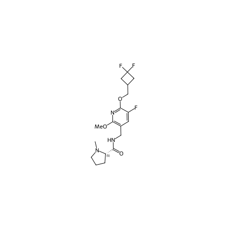 COc1nc(OCC2CC(F)(F)C2)c(F)cc1CNC(=O)[C@@H]1CCCN1C